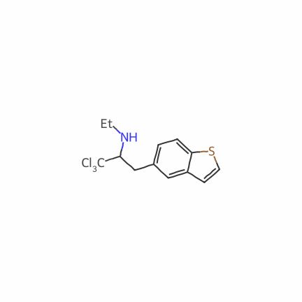 CCNC(Cc1ccc2sccc2c1)C(Cl)(Cl)Cl